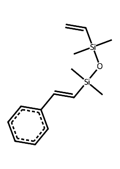 C=C[Si](C)(C)O[Si](C)(C)C=Cc1ccccc1